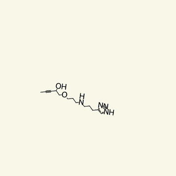 CC#CC(O)COCCCNCCCc1c[nH]nn1